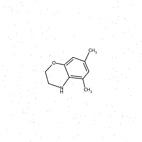 Cc1cc(C)c2c(c1)OCCN2